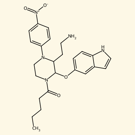 CCCCC(=O)N1CCN(c2ccc([N+](=O)[O-])cc2)C(CCN)C1Oc1ccc2[nH]ccc2c1